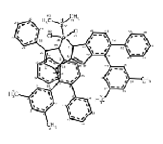 Cc1cc(C)cc(-c2c(-c3ccccc3)ccc3c2C=C(c2ccccc2)[CH]3[Zr]([Cl])([Cl])([CH]2C(c3ccccc3)=Cc3c2ccc(-c2ccccc2)c3-c2cc(C)cc(C)c2)[SiH](C)C)c1